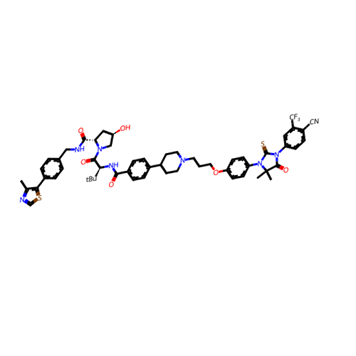 Cc1ncsc1-c1ccc(CNC(=O)[C@@H]2C[C@@H](O)CN2C(=O)[C@@H](NC(=O)c2ccc(C3CCN(CCCOc4ccc(N5C(=S)N(c6ccc(C#N)c(C(F)(F)F)c6)C(=O)C5(C)C)cc4)CC3)cc2)C(C)(C)C)cc1